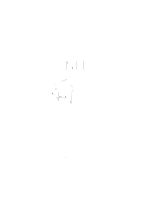 Nc1cnn(CCCCF)c1